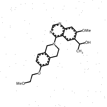 COCCOc1ccc2c(c1)CCN(c1ncnc3cc(OC)c(C(C)O)cc13)C2